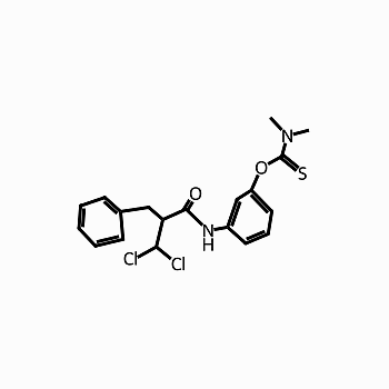 CN(C)C(=S)Oc1cccc(NC(=O)C(Cc2ccccc2)C(Cl)Cl)c1